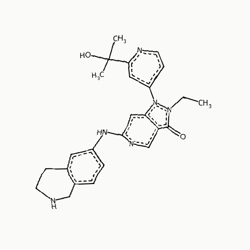 CCn1c(=O)c2cnc(Nc3ccc4c(c3)CCNC4)cc2n1-c1ccnc(C(C)(C)O)c1